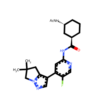 CC(=O)N[C@@H]1CCC[C@@H](C(=O)Nc2cc(-c3cnn4c3CC(C)(C)C4)c(F)cn2)C1